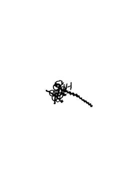 CCCCCCCCCCCCCCCCCCCCCCCON[C@@H](COC1OC(COCCCC)C(OCCCC)C(OCCCC)C1OCCCC)[C@@H]1OC(C)(C)O[C@@H]1CC